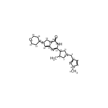 CC1CN(Cc2ccn(C)n2)CC1C1=NC2=CN(C3CCOCC3)CN2C(=O)N1